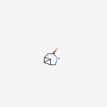 O=C1CC2C3C(CN1)C23